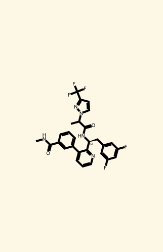 CNC(=O)c1cccc(-c2cccnc2[C@H](Cc2cc(F)cc(F)c2)NC(=O)C(C)n2ccc(C(F)(F)F)n2)c1